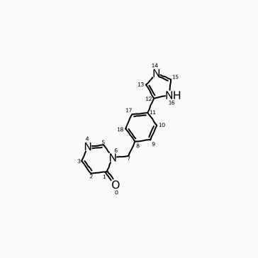 O=c1ccncn1Cc1ccc(-c2cnc[nH]2)cc1